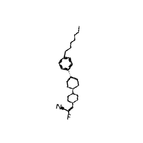 CCCCCCCc1ccc([C@H]2CC[C@H](C3CCC(/C=C(/F)C#N)CC3)CC2)cc1